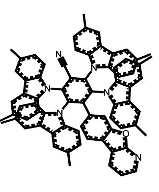 Cc1ccc2c(c1)c1cc(C)ccc1n2-c1c(C#N)c(-n2c3ccc(C)cc3c3cc(C)ccc32)c(-n2c3ccc(C)cc3c3cc(C)ccc32)c(-c2ccc3c(c2)oc2ncccc23)c1-n1c2ccc(C)cc2c2cc(C)ccc21